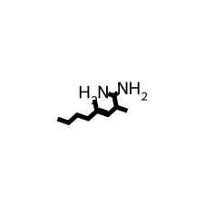 CCCC/C(C)=C/C(C)C(N)N